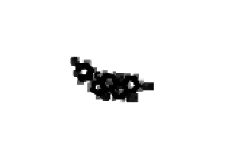 C[C@]12CC[C@H]3[C@@H](CC[C@]4(O)C[C@@H](O)CC[C@]34C)C13OC3C[C@@H]2c1ccc(=O)oc1